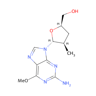 COc1nc(N)nc2c1ncn2[C@@H]1O[C@@H](CO)C[C@H]1C